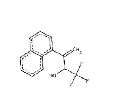 C=C(c1cccc2ccccc12)C(O)C(F)(F)F